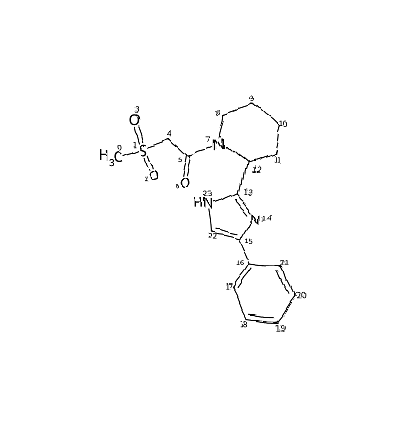 CS(=O)(=O)CC(=O)N1CCCCC1c1nc(-c2ccccc2)c[nH]1